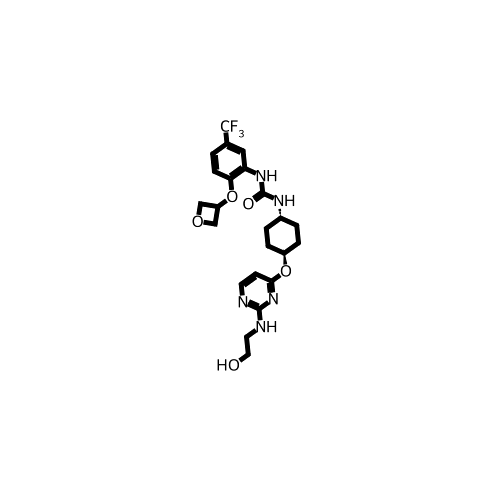 O=C(Nc1cc(C(F)(F)F)ccc1OC1COC1)N[C@H]1CC[C@H](Oc2ccnc(NCCO)n2)CC1